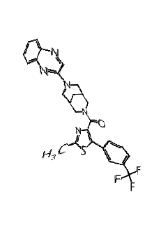 Cc1nc(C(=O)N2CC3CC(C2)CN(c2cnc4ccccc4n2)C3)c(-c2cccc(C(F)(F)F)c2)s1